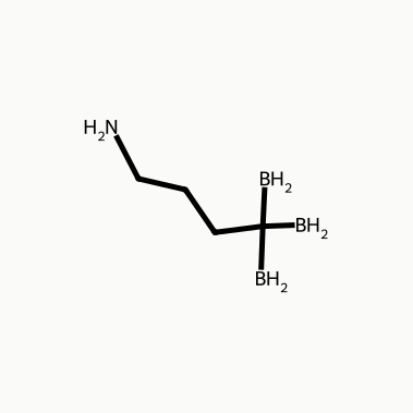 BC(B)(B)CCCN